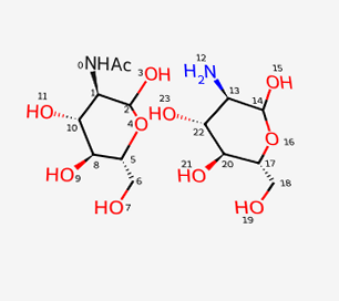 CC(=O)N[C@H]1C(O)O[C@H](CO)[C@@H](O)[C@@H]1O.N[C@H]1C(O)O[C@H](CO)[C@@H](O)[C@@H]1O